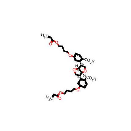 C=CC(=O)OCCCCOc1ccc(C(=O)O)c([C@H]2CO[C@@H]3[C@H]2OC[C@H]3c2cc(OCCCCOC(=O)C=C)ccc2C(=O)O)c1